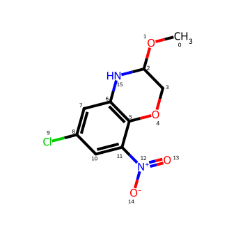 COC1COc2c(cc(Cl)cc2[N+](=O)[O-])N1